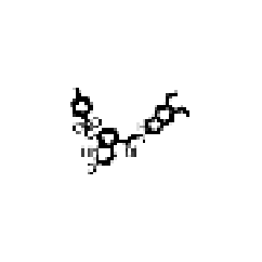 CCc1cc2c(cc1CC)CC(NCC(O)c1ccc(OS(=O)(=O)c3ccc(C)cc3)c3[nH]c(=O)ccc13)C2